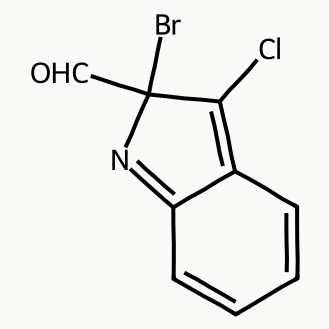 O=CC1(Br)N=c2ccccc2=C1Cl